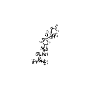 Cc1cc(C)c(NC(=O)c2ccc3nc(NC(=O)N(C(C)C)C(C)C)sc3c2)c(C)c1